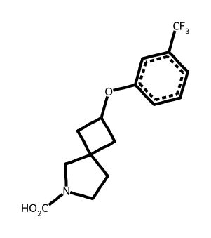 O=C(O)N1CCC2(CC(Oc3cccc(C(F)(F)F)c3)C2)C1